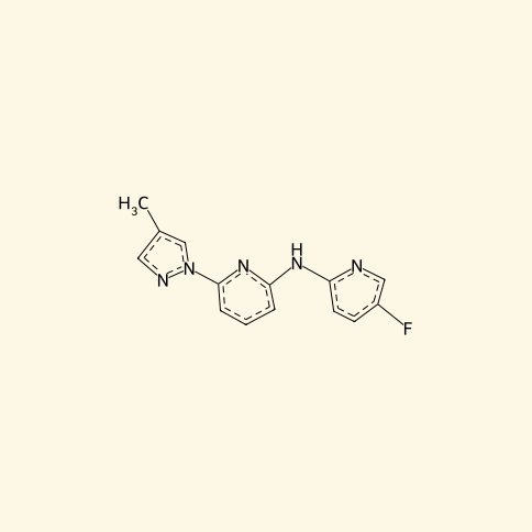 Cc1cnn(-c2cccc(Nc3ccc(F)cn3)n2)c1